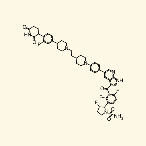 NS(=O)(=O)N1CCC(F)C1c1ccc(F)c(C(=O)c2c[nH]c3ncc(-c4ccc(N5CCC(CCN6CCC(c7ccc(C8CCC(=O)NC8=O)c(F)c7)CC6)CC5)cc4)cc23)c1F